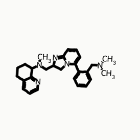 CN(C)Cc1ccccc1C1=CC=CC2=NC(CN(C)C3CCCc4cccnc43)CN12